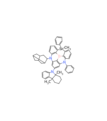 CC12CCCCC1(C)N(c1cc3c4c(c1)N(C1CC5CC6CC5CC61)c1cccc5c1B4c1c(cccc1[Si]5(C)c1ccccc1)N3c1ccccc1)c1ccccc12